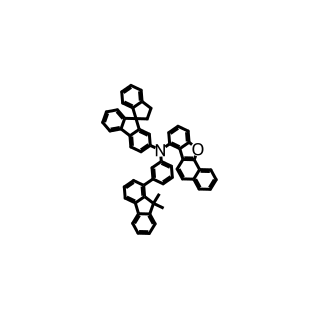 CC1(C)c2ccccc2-c2cccc(-c3cccc(N(c4ccc5c(c4)C4(CCc6ccccc64)c4ccccc4-5)c4cccc5oc6c7ccccc7ccc6c45)c3)c21